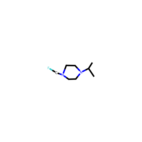 CC(C)N1CCN(CF)CC1